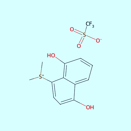 C[S+](C)c1ccc(O)c2cccc(O)c12.O=S(=O)([O-])C(F)(F)F